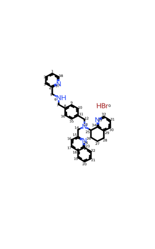 Br.c1ccc(CNCc2ccc(CN(Cc3ccc4ccccc4n3)C3CCCc4cccnc43)cc2)nc1